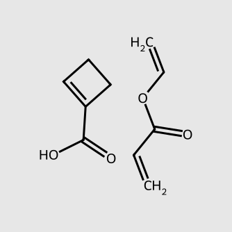 C=COC(=O)C=C.O=C(O)C1=CCC1